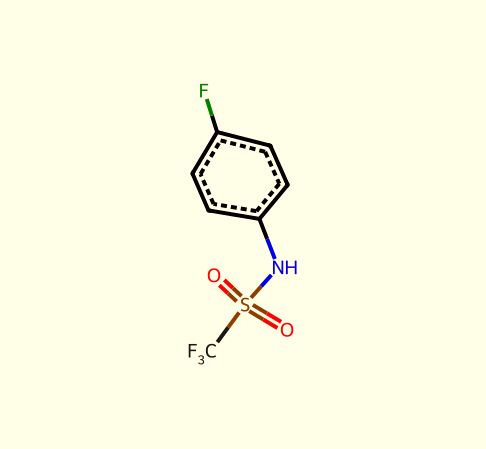 O=S(=O)(Nc1ccc(F)cc1)C(F)(F)F